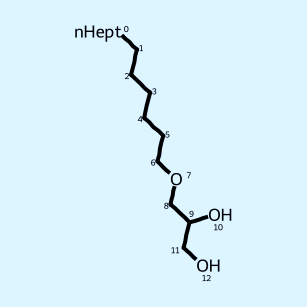 CCCCCCCCCCCCCOCC(O)CO